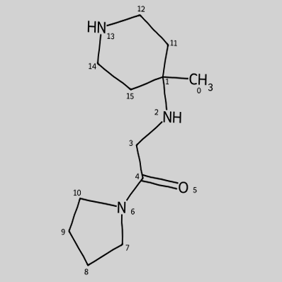 CC1(NCC(=O)N2CCCC2)CCNCC1